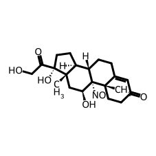 C[C@]12CCC(=O)C=C1CC[C@H]1[C@@H]3CC[C@](O)(C(=O)CO)[C@@]3(C)C[C@H](O)[C@@]12N=O